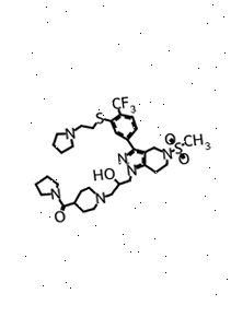 CS(=O)(=O)N1CCc2c(c(-c3ccc(C(F)(F)F)c(SCCN4CCCC4)c3)nn2CC(O)CN2CCC(C(=O)N3CCCC3)CC2)C1